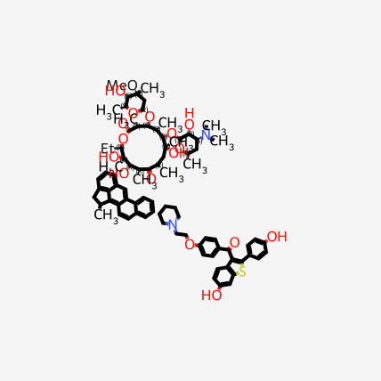 CC1Cc2cccc3cc4c(ccc5ccccc54)c1c23.CC[C@H]1OC(=O)[C@H](C)[C@@H](O[C@H]2C[C@@](C)(OC)[C@@H](O)[C@H](C)O2)[C@H](C)[C@@H](O[C@@H]2O[C@H](C)C[C@H](N(C)C)[C@H]2O)[C@](C)(O)C[C@@H](C)C(=O)[C@H](C)[C@@H](O)[C@]1(C)O.O=C(c1ccc(OCCN2CCCCC2)cc1)c1c(-c2ccc(O)cc2)sc2cc(O)ccc12